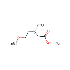 CCCCOCC[C@@H](CC(=O)OC(C)(C)C)C(=O)O